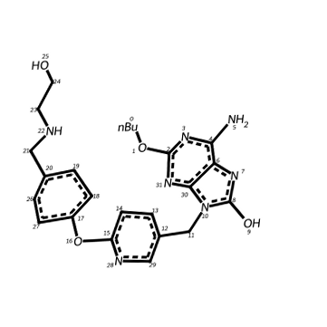 CCCCOc1nc(N)c2nc(O)n(Cc3ccc(Oc4ccc(CNCCO)cc4)nc3)c2n1